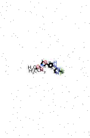 CC(C)(C)OC(=O)N1CCOC(c2ccc(Nc3ccnc(C(F)(F)F)n3)cc2)C1